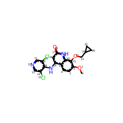 COc1ccc2c(Nc3c(Cl)cncc3Cl)cc(=O)[nH]c2c1OCC1CC1